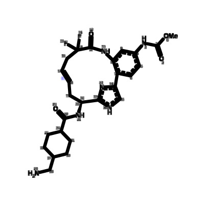 COC(=O)Nc1ccc2c(c1)NC(=O)C(F)(F)C/C=C/C[C@H](NC(=O)C1CCC(CN)CC1)c1nc-2c[nH]1